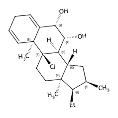 CC[C@@H]1[C@H](C)C[C@H]2[C@@H]3[C@@H](O)[C@@H](O)C4=CCC=C[C@]4(C)[C@@]3(Cl)CC[C@]12C